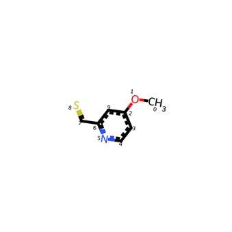 COc1ccnc(C=S)c1